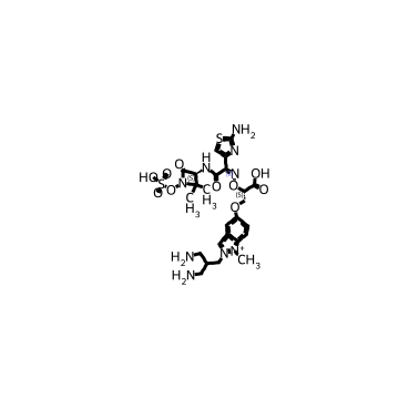 C[n+]1c2ccc(OC[C@H](O/N=C(\C(=O)N[C@@H]3C(=O)N(OS(=O)(=O)O)C3(C)C)c3csc(N)n3)C(=O)O)cc2cn1CC(CN)CN